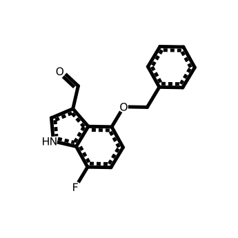 O=Cc1c[nH]c2c(F)ccc(OCc3ccccc3)c12